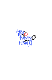 c1ccc2[nH]c(-c3n[nH]cc3Nc3ncnc4c3OCCN4)nc2c1